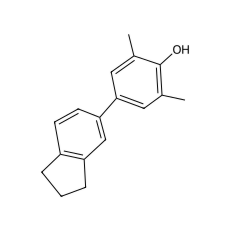 Cc1cc(-c2ccc3c(c2)CCC3)cc(C)c1O